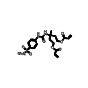 C=CC(=O)OCCC(C)(CCOC(=O)C=C)NC(=O)Nc1ccc(S(=O)(=O)NC)cc1